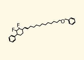 FC1C(C=CCCCCCCCCCCCOCc2ccccc2)CCC(c2ccccc2)C1F